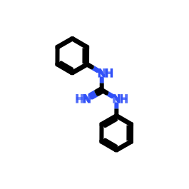 N=C(NC1=CCCC=C1)Nc1ccccc1